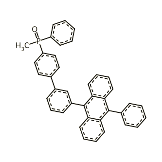 CP(=O)(c1ccccc1)c1ccc(-c2cccc(-c3c4ccccc4c(-c4ccccc4)c4ccccc34)c2)cc1